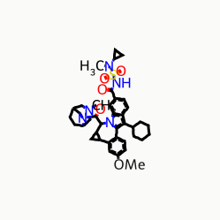 COc1ccc2c(c1)C1CC1C(C(=O)N1CC3CCC1CN(C)C3)n1c-2c(C2CCCCC2)c2ccc(C(=O)NS(=O)(=O)N(C)C3CC3)cc21